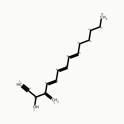 C#CC(O)C(=C)C=CC=CC=CCCCCC